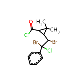 CC1(C)C(C(=O)Cl)C1C(Br)C(Cl)(Br)c1ccccc1